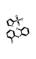 Fc1ccccc1[I+]c1ccccc1F.O=S(=O)([O-])c1cccs1